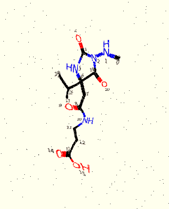 CNN1C(=O)NC(CC(=O)NCCC(=O)O)(C(C)C)C1=O